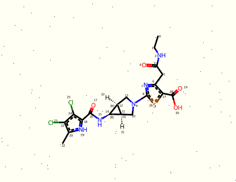 CCNC(=O)Cc1nc(N2C[C@@H]3[C@H](C2)[C@@H]3NC(=O)c2[nH]c(C)c(Cl)c2Cl)sc1C(=O)O